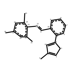 CC1=CCC(c2ccccc2C=Nc2c(C)cc(C)cc2C)=C1